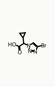 O=C(O)C(C1CC1)n1cc(Br)nn1